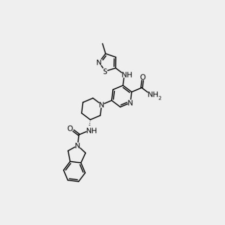 Cc1cc(Nc2cc(N3CCC[C@@H](NC(=O)N4Cc5ccccc5C4)C3)cnc2C(N)=O)sn1